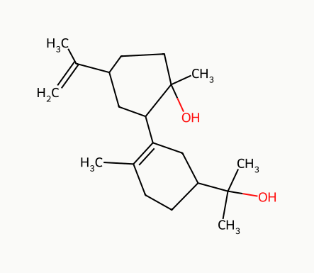 C=C(C)C1CCC(C)(O)C(C2=C(C)CCC(C(C)(C)O)C2)C1